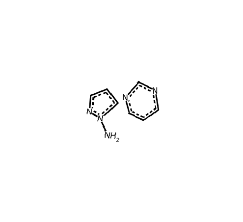 Nn1cccn1.c1cncnc1